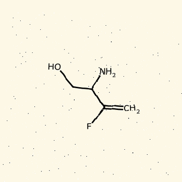 C=C(F)C(N)CO